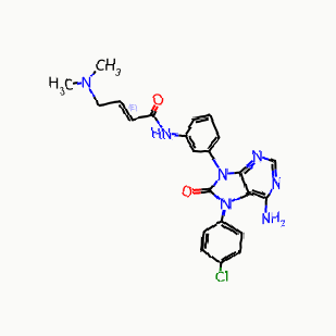 CN(C)C/C=C/C(=O)Nc1cccc(-n2c(=O)n(-c3ccc(Cl)cc3)c3c(N)ncnc32)c1